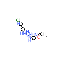 C=CC(=O)Nc1cccc(Nc2ncnc(Nc3ccc(-c4ccc(Cl)nc4)cc3)n2)c1